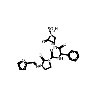 O=C(N[C@H]1CN(S(=O)(=O)O)C1=O)C(NC(=O)N1CCN(N=Cc2ccco2)C1=O)c1ccccc1